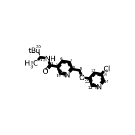 C[C@@H](NC(=O)c1ccc(COc2cncc(Cl)c2)nc1)C(C)(C)C